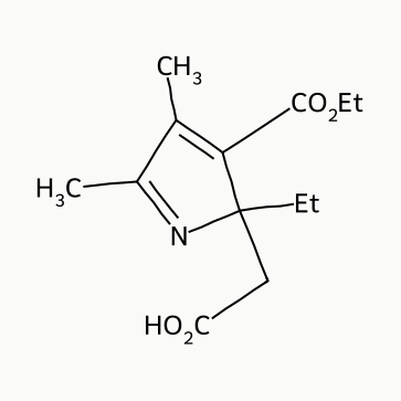 CCOC(=O)C1=C(C)C(C)=NC1(CC)CC(=O)O